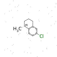 C[C@@H]1CCCc2cc(Cl)ccc21